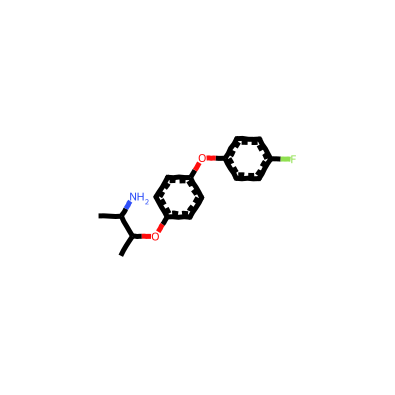 CC(N)C(C)Oc1ccc(Oc2ccc(F)cc2)cc1